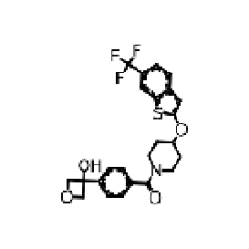 O=C(c1ccc(C2(O)COC2)cc1)N1CCC(Oc2cc3ccc(C(F)(F)F)cc3s2)CC1